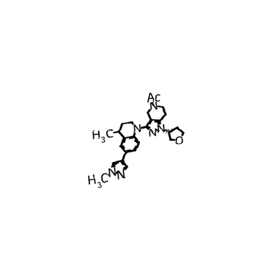 CC(=O)N1CCc2c(c(N3CCC(C)c4cc(-c5cnn(C)c5)ccc43)nn2[C@H]2CCOC2)C1